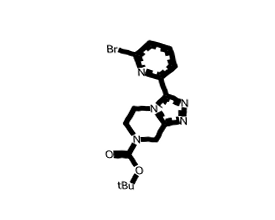 CC(C)(C)OC(=O)N1CCn2c(nnc2-c2cccc(Br)n2)C1